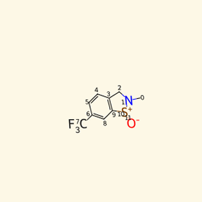 CN1Cc2ccc(C(F)(F)F)cc2[S+]1[O-]